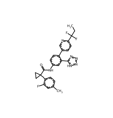 CCC(F)(F)c1ccc(-c2ccc(NC(=O)C3(c4ccc(C)cc4F)CC3)cc2-c2nnn[nH]2)cn1